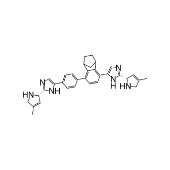 CC1=C[C@@H](c2ncc(-c3ccc(-c4ccc(-c5cnc([C@@H]6C=C(C)CN6)[nH]5)c5c4C4CCC5C4)cc3)[nH]2)NC1